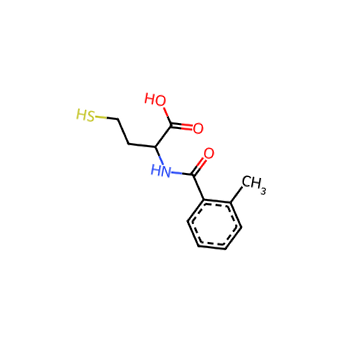 Cc1ccccc1C(=O)NC(CCS)C(=O)O